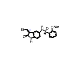 CC/C=C1\C(=O)Nc2ccc(NS(=O)(=O)c3ccccc3OC)cc21